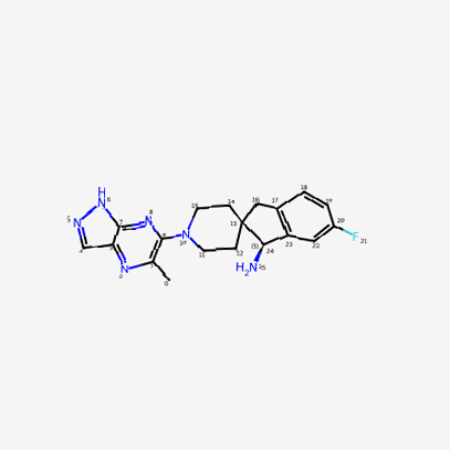 Cc1nc2cn[nH]c2nc1N1CCC2(CC1)Cc1ccc(F)cc1[C@H]2N